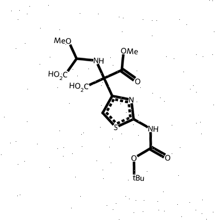 COC(=O)C(NC(OC)C(=O)O)(C(=O)O)c1csc(NC(=O)OC(C)(C)C)n1